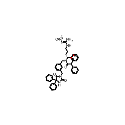 NC(=O)[C@@H](CCCNC(N)=N[N+](=O)[O-])N(Cc1cccc(CN2C(=O)NC(c3ccccc3)(c3ccccc3)C2=O)c1)C(=O)C(c1ccccc1)c1ccccc1